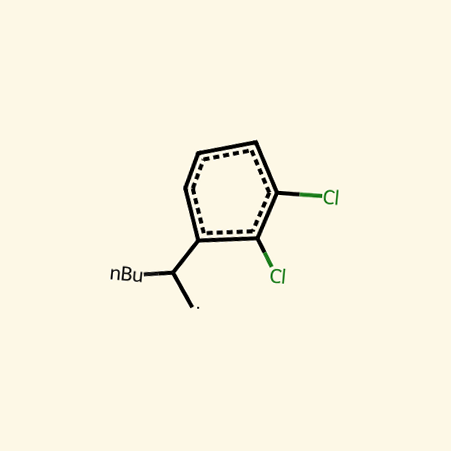 [CH2]C(CCCC)c1cccc(Cl)c1Cl